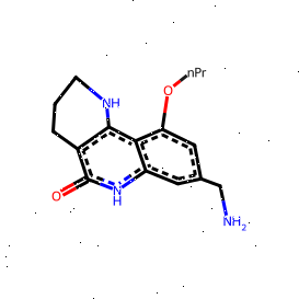 CCCOc1cc(CN)cc2[nH]c(=O)c3c(c12)NCCC3